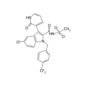 CS(=O)(=O)NC(=O)c1c(-c2ccc[nH]c2=O)c2cc(Cl)ccc2n1Cc1ccc(C(F)(F)F)cc1